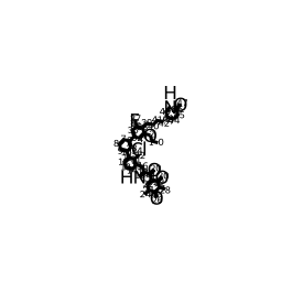 CCOc1cc(-c2cccc(-c3cccc(CC(=N)C(=O)C4=CC(C)C(=O)C(C)C4=O)c3C)c2Cl)cc(F)c1CCCC[C@H]1CCC(=O)NC1